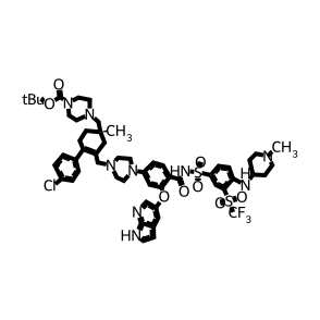 CN1CCC(Nc2ccc(S(=O)(=O)NC(=O)c3ccc(N4CCN(CC5=C(c6ccc(Cl)cc6)CC[C@@](C)(CN6CCN(C(=O)OC(C)(C)C)CC6)C5)CC4)cc3Oc3cnc4[nH]ccc4c3)cc2S(=O)(=O)C(F)(F)F)CC1